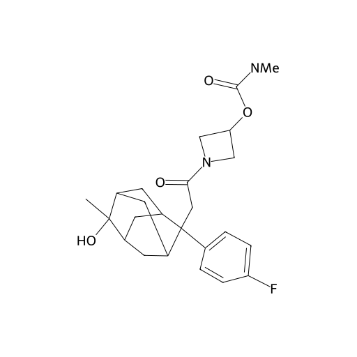 CNC(=O)OC1CN(C(=O)CC2(c3ccc(F)cc3)C3CC4CC2CC(C3)C4(C)O)C1